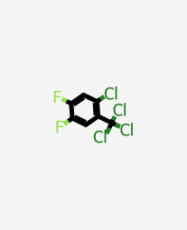 Fc1cc(Cl)c(C(Cl)(Cl)Cl)cc1F